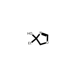 CCC1(O)COC=N1